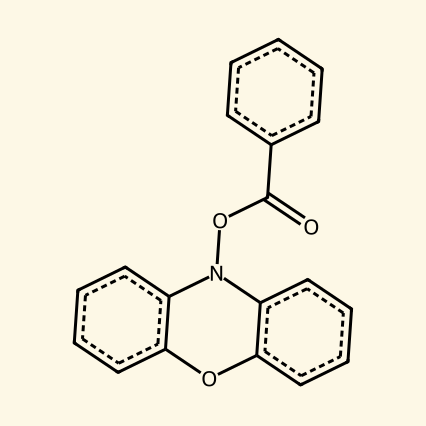 O=C(ON1c2ccccc2Oc2ccccc21)c1ccccc1